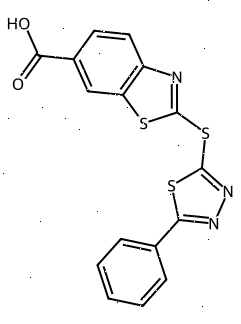 O=C(O)c1ccc2nc(Sc3nnc(-c4ccccc4)s3)sc2c1